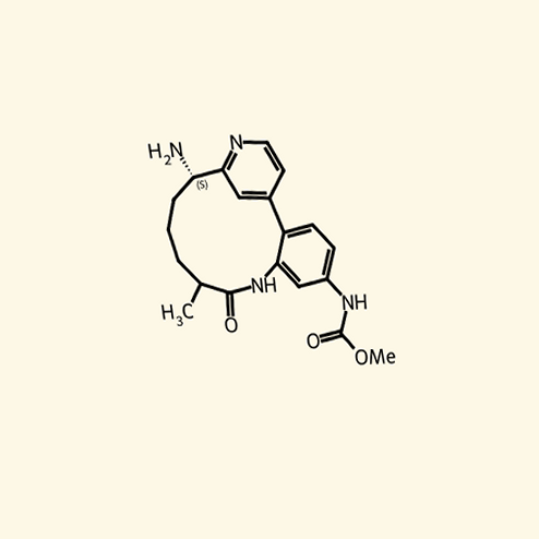 COC(=O)Nc1ccc2c(c1)NC(=O)C(C)CCC[C@H](N)c1cc-2ccn1